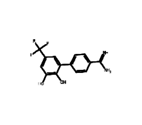 N=C(N)c1ccc(-c2cc(C(F)(F)F)cc(O)c2O)cc1